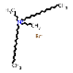 CCCCCCCCCCCCCCCC[N+](CCCCC)(CCCCC)CCCCCCCCCCCCCCCC.[Br-]